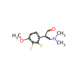 COc1ccc(C(C=O)=CN(C)C)c(F)c1F